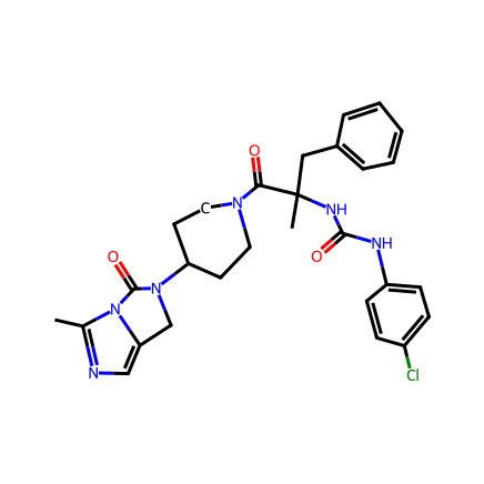 Cc1ncc2n1C(=O)N(C1CCN(C(=O)C(C)(Cc3ccccc3)NC(=O)Nc3ccc(Cl)cc3)CC1)C2